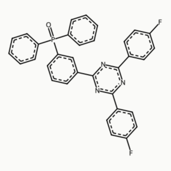 O=P(c1ccccc1)(c1ccccc1)c1cccc(-c2nc(-c3ccc(F)cc3)nc(-c3ccc(F)cc3)n2)c1